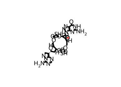 Nc1nc2c(nnn2[C@@H]2O[C@@H]3COP(=O)(S)O[C@H]4C[C@H](c5cnn6c(N)ncnc56)O[C@@H]4COP(=O)(S)O[C@@H]2[C@H]3F)c(=O)[nH]1